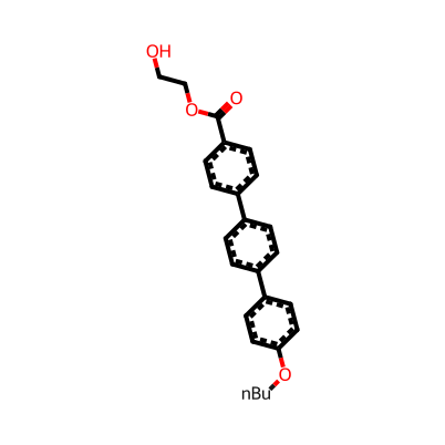 CCCCOc1ccc(-c2ccc(-c3ccc(C(=O)OCCO)cc3)cc2)cc1